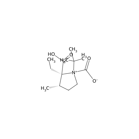 CC[C@@]1(C(=O)O)[C@@H](C)CC[N+]1(C(=O)[O-])C(C)(C)C